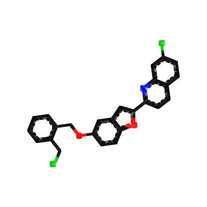 ClCc1ccccc1COc1ccc2oc(-c3ccc4ccc(Cl)cc4n3)cc2c1